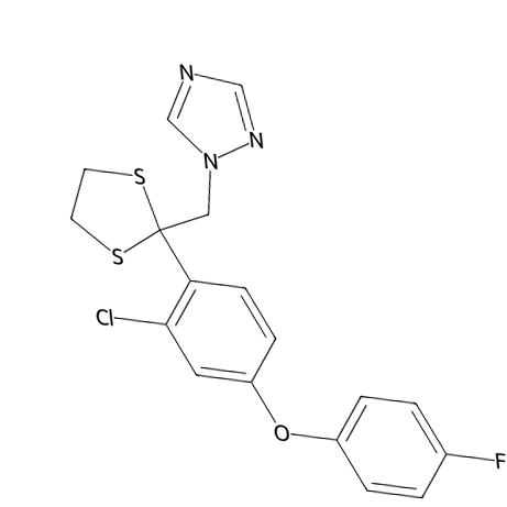 Fc1ccc(Oc2ccc(C3(Cn4cncn4)SCCS3)c(Cl)c2)cc1